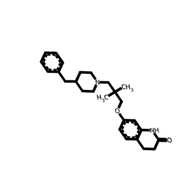 CC(C)(COc1ccc2c(c1)NC(=O)CC2)CN1CCC(Cc2ccccc2)CC1